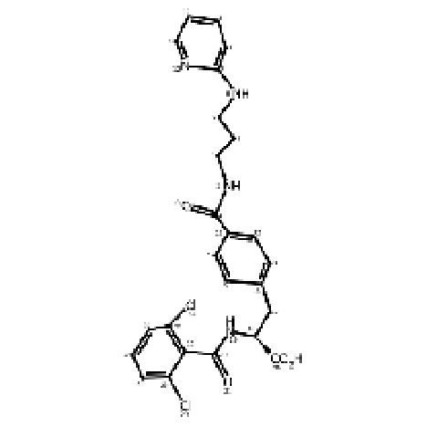 O=C(NCCCNc1ccccn1)c1ccc(C[C@H](NC(=O)c2c(Cl)cccc2Cl)C(=O)O)cc1